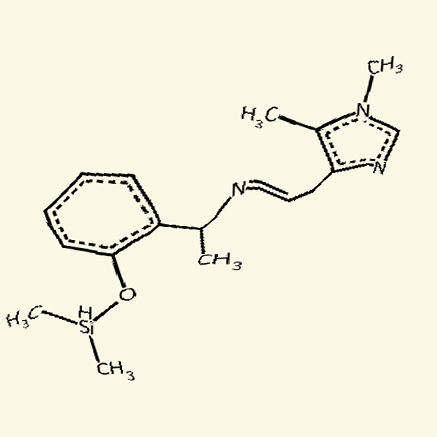 Cc1c(C=NC(C)c2ccccc2O[SiH](C)C)ncn1C